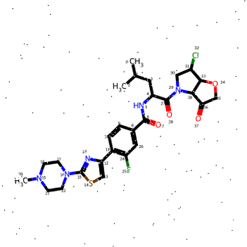 CC(C)CC(NC(=O)c1ccc(-c2csc(N3CCN(C)CC3)n2)c(F)c1)C(=O)N1CC(Cl)C2OCC(=O)C21